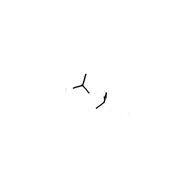 CC(O)C(=O)O.C[C@@H](O)C(=O)O